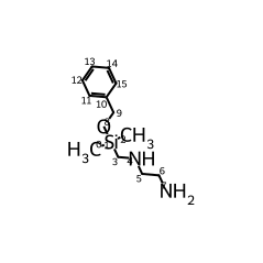 C[Si](C)(CNCCN)OCc1ccccc1